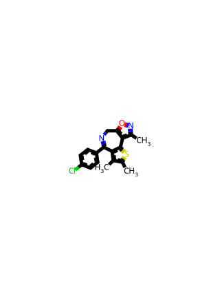 Cc1noc2c1-c1sc(C)c(C)c1C(c1ccc(Cl)cc1)=NC2